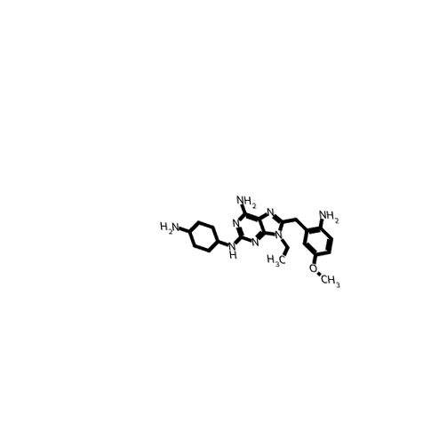 CCn1c(Cc2cc(OC)ccc2N)nc2c(N)nc(NC3CCC(N)CC3)nc21